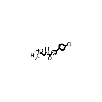 C[C@@H](O)CNC(=O)N1CC(c2ccc(Cl)cc2)C1